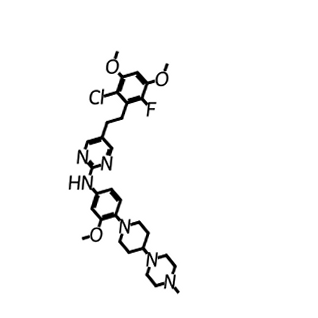 COc1cc(Nc2ncc(CCc3c(F)c(OC)cc(OC)c3Cl)cn2)ccc1N1CCC(N2CCN(C)CC2)CC1